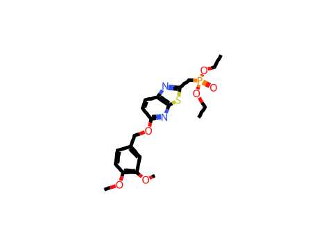 CCOP(=O)(Cc1nc2ccc(OCc3ccc(OC)c(OC)c3)nc2s1)OCC